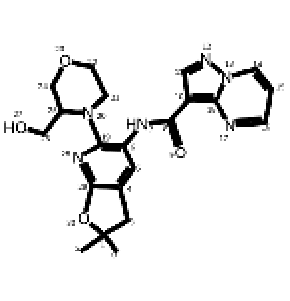 CC1(C)Cc2cc(NC(=O)c3cnn4cccnc34)c(N3CCOCC3CO)nc2O1